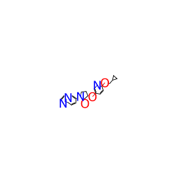 O=C1[C@H](Oc2ccc(OCC3CC3)nc2)CCN1c1ccc2nccn2c1